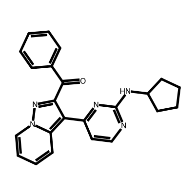 O=C(c1ccccc1)c1nn2ccccc2c1-c1ccnc(NC2CCCC2)n1